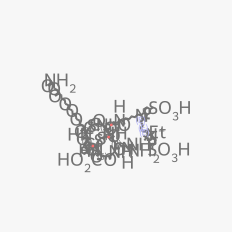 CC[N+]1=C(/C=C/C=C/C=C2/N(CCCCCC(=O)NCCCC[C@@H]3NC(=O)CSC[C@@H](C(=O)CCCOCCOCCOCCCC(=O)COCC(N)=O)NC(=O)[C@H](Cc4ccccc4)CC(=O)[C@@H]4CSSC[C@H](NC3=O)C(=O)C[C@@H](CCCNC(=N)N)C(=O)NCC(=O)C[C@@H](CC(=O)O)C(=O)N4)c3ccc(S(=O)(=O)O)cc3C2(C)C)C(C)(C)c2cc(S(=O)(=O)O)ccc21